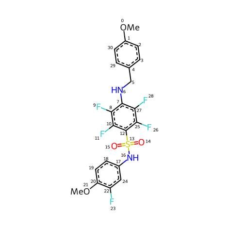 COc1ccc(CNc2c(F)c(F)c(S(=O)(=O)Nc3ccc(OC)c(F)c3)c(F)c2F)cc1